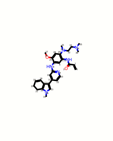 C=CC(=O)Nc1cc(Nc2cc(-c3cn(C)c4c3C=CCC4)ccn2)c(OC)cc1N(C)CCN(C)C